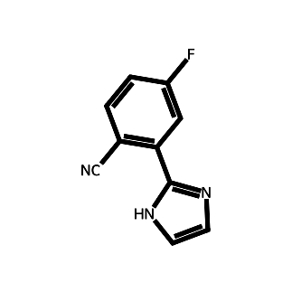 N#Cc1ccc(F)cc1-c1ncc[nH]1